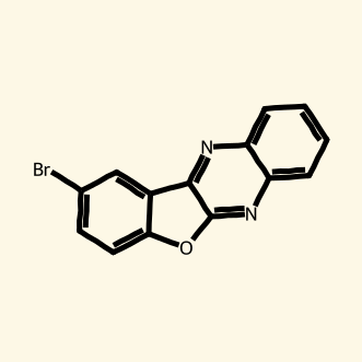 Brc1ccc2oc3nc4ccccc4nc3c2c1